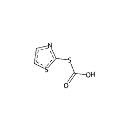 O=C(O)Sc1nccs1